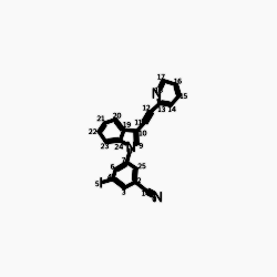 N#Cc1cc(I)cc(-n2cc(C#Cc3ccccn3)c3ccccc32)c1